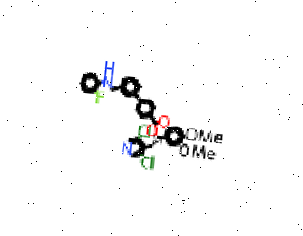 COc1ccc([C@H](Cc2c(Cl)cncc2Cl)OC(=O)c2ccc(-c3cccc(CNc4ccccc4F)c3)cc2)cc1OC